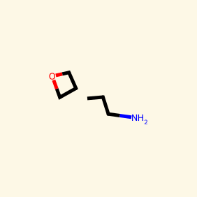 C1COC1.CCCN